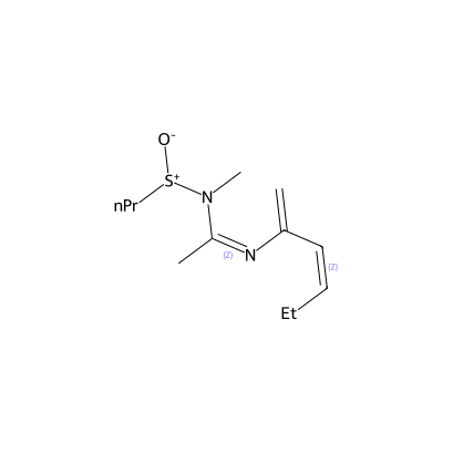 C=C(/C=C\CC)/N=C(/C)N(C)[S+]([O-])CCC